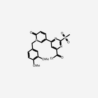 CCC(=O)c1cc(-c2ccc(=O)n(Cc3ccc(OC)c(OC)c3)c2)nc(S(C)(=O)=O)n1